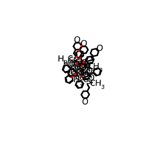 C[Si](C)(CCC1CCC2OC2C1)O[Si]1(c2ccccc2)O[Si]2(c3ccccc3)O[Si](O[Si](C)(C)CCC3CCC4OC4C3)(c3ccccc3)O[Si](c3ccccc3)(O1)O[Si]1(c3ccccc3)O[Si](O[Si](C)(C)CCC3CCC4OC4C3)(c3ccccc3)O[Si](c3ccccc3)(O[Si](O[Si](C)(C)CCC3CCC4OC4C3)(c3ccccc3)O1)O2